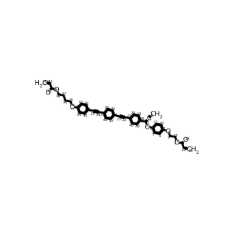 C=C=C(Oc1ccc(OCCOC(=O)C=C)cc1)c1ccc(C#Cc2ccc(C#Cc3ccc(OCCCCOC(=O)C=C)cc3)cc2)cc1